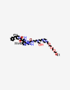 CCOCCOCCOCCOCCN1CCN(CCCN(CCO)CCCNC(=O)c2ncn(-c3ncc(OC)c4c(C(=O)C(=O)N5CCC(=C(C#N)c6ccccc6)CC5)c[nH]c34)n2)CC1